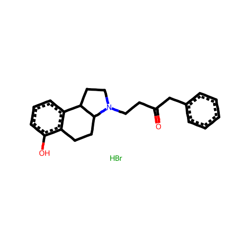 Br.O=C(CCN1CCC2c3cccc(O)c3CCC21)Cc1ccccc1